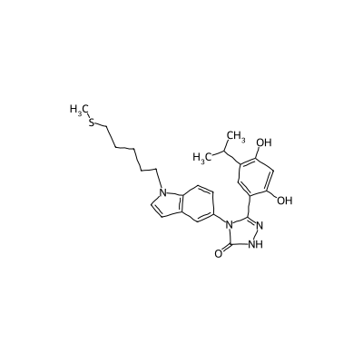 CSCCCCCn1ccc2cc(-n3c(-c4cc(C(C)C)c(O)cc4O)n[nH]c3=O)ccc21